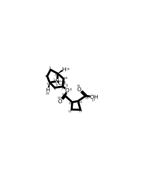 CN1[C@@H]2CC[C@H]1CC(OC(=O)C1CCC1C(=O)O)C2